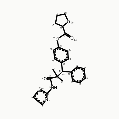 CC(C)(C(=O)Nc1nccs1)[C@H](c1ccccc1)c1ccc(OC(=O)C2CCCO2)cc1